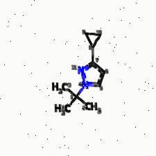 CC(C)(C)n1ccc(C2CC2)n1